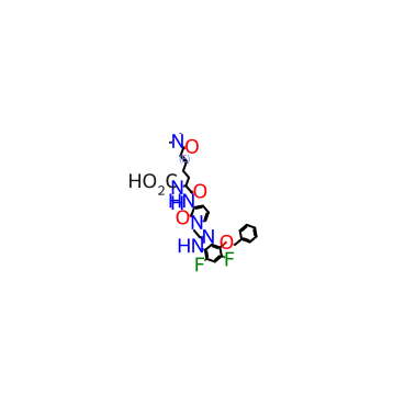 CN(C)C(=O)/C=C/CCC(NC(=O)O)C(=O)Nc1cccn(Cc2nc3c(OCc4ccccc4)c(F)cc(F)c3[nH]2)c1=O